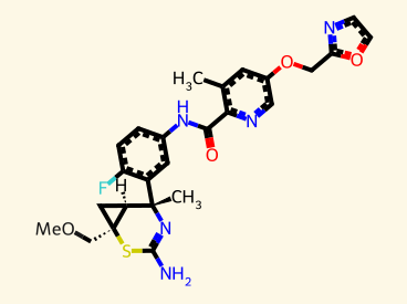 COC[C@]12C[C@H]1[C@](C)(c1cc(NC(=O)c3ncc(OCc4ncco4)cc3C)ccc1F)N=C(N)S2